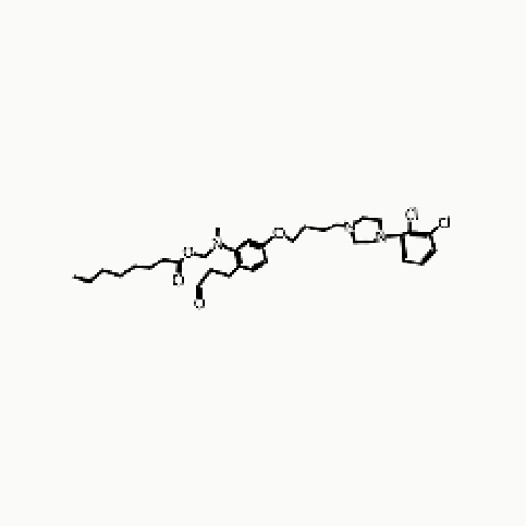 CCCCCCCC(=O)OCN(C)c1cc(OCCCCN2CCN(c3cccc(Cl)c3Cl)CC2)ccc1CCC=O